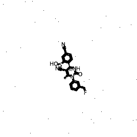 CC1=C(C#N)[C@@H](c2ccc(C#N)cc2SO)NC(=O)N1c1cccc(CF)c1